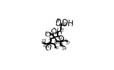 CCC1(CC(CCCC(=O)O)(CC2(CC)OC2C)C(=O)O)OC1C